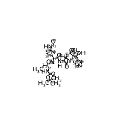 CCC(CNC(=O)OC(C)(C)C)ON=C(C(=O)NC1C(=O)N2CC(Sc3nncs3)(C(=O)O)C(C)S[C@H]12)c1csc(NC=O)n1